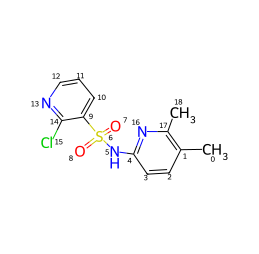 Cc1ccc(NS(=O)(=O)c2cccnc2Cl)nc1C